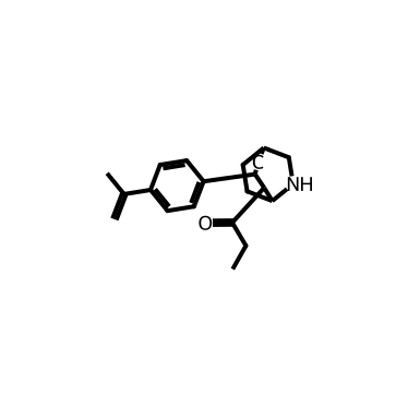 C=C(C)c1ccc(C2CC3CCC(NC3)C2C(=O)CC)cc1